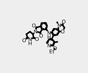 CCOc1nccc(-c2cc3c(cc2Nc2cccc4c2C(=O)N(C2CCC(=O)NC2=O)C4=O)N(C)C(=O)CO3)c1C